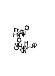 CCc1cc(-c2ccccc2)nnc1Nc1ccc(Oc2ncccc2-c2ccnc(NCCCN3CCCC3)n2)cc1